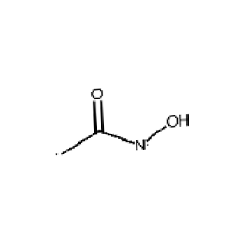 [CH2]C(=O)[N]O